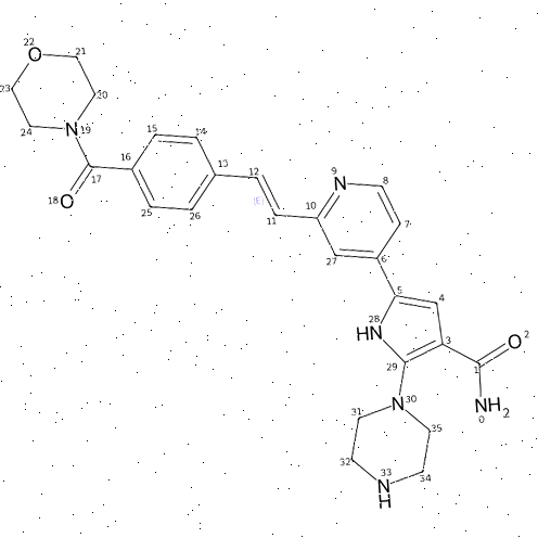 NC(=O)c1cc(-c2ccnc(/C=C/c3ccc(C(=O)N4CCOCC4)cc3)c2)[nH]c1N1CCNCC1